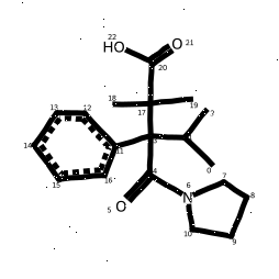 CC(C)C(C(=O)N1CCCC1)(c1ccccc1)C(C)(C)C(=O)O